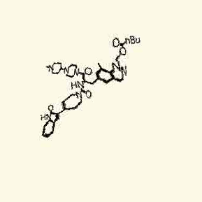 CCCCC(=O)OCn1ncc2cc(CC(NC(=O)N3CCC(c4cc5ccccc5[nH]c4=O)CC3)C(=O)N3CCN(C4CCN(C)CC4)CC3)cc(C)c21